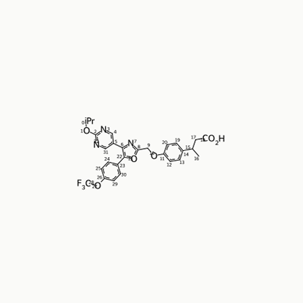 CC(C)Oc1ncc(-c2nc(COc3ccc(C(C)CC(=O)O)cc3)oc2-c2ccc(OC(F)(F)F)cc2)cn1